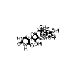 CCC(C)(C[C@H]1O[C@@H](c2c[nH]c(=O)[nH]c2=O)[C@H](O)[C@@H]1O)OP(=O)(O)C(C)(O)CC